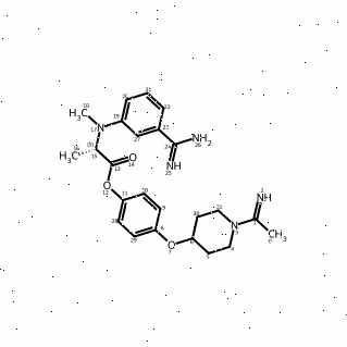 CC(=N)N1CCC(Oc2ccc(OC(=O)[C@H](C)N(C)c3cccc(C(=N)N)c3)cc2)CC1